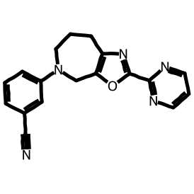 N#Cc1cccc(N2CCCc3nc(-c4ncccn4)oc3C2)c1